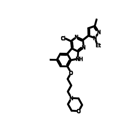 CCn1nc(C)cc1-c1nc(Cl)c2c(n1)[nH]c1c(OCCCN3CCOCC3)cc(C)cc12